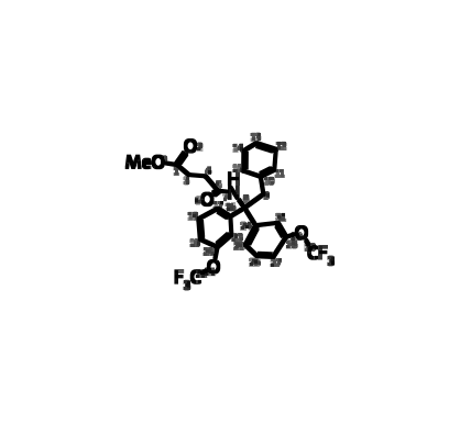 COC(=O)CCC(=O)NC(Cc1ccccc1)(c1cccc(OC(F)(F)F)c1)c1cccc(OC(F)(F)F)c1